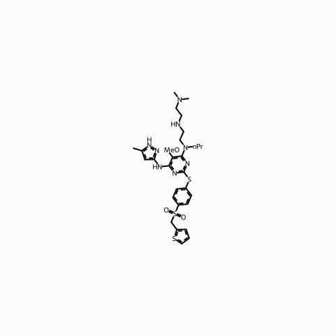 CCCN(CCNCCN(C)C)c1nc(Sc2ccc(S(=O)(=O)Cc3cccs3)cc2)nc(Nc2cc(C)[nH]n2)c1OC